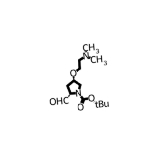 CN(C)CCO[C@@H]1C[C@@H](C=O)N(C(=O)OC(C)(C)C)C1